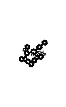 CC1C(c2ccc(-c3ccccc3)cc2)=CCC(c2cc(-n3c4ccccc4c4cc5ccccc5cc43)cc3oc4ccccc4c23)=NC1n1c2ccccc2c2ccccc21